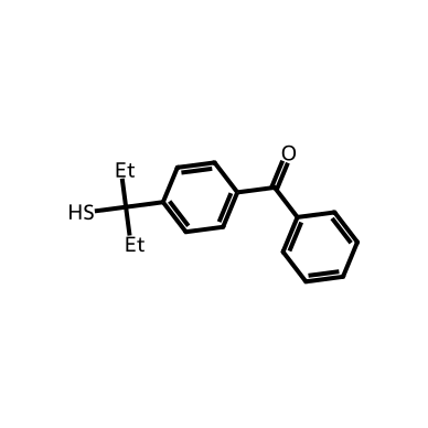 CCC(S)(CC)c1ccc(C(=O)c2ccccc2)cc1